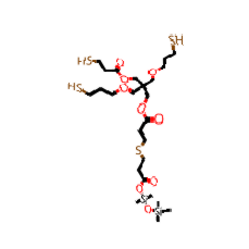 C[Si](C)(C)O[Si](C)(C)OC(=O)CCSCCC(=O)OCC(COCCCS)(COCCCS)COC(=O)CCS